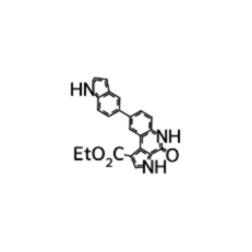 CCOC(=O)c1c[nH]c2c(=O)[nH]c3ccc(-c4ccc5[nH]ccc5c4)cc3c12